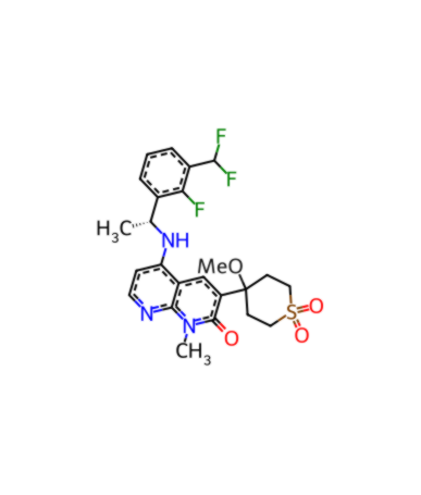 COC1(c2cc3c(N[C@H](C)c4cccc(C(F)F)c4F)ccnc3n(C)c2=O)CCS(=O)(=O)CC1